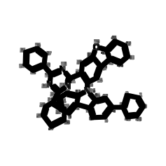 c1ccc(-c2ccc3c4ccccc4n(-c4cc5c(cc4-c4nc(-c6ccccc6)nc(-c6ccccc6)n4)oc4ccccc45)c3c2)cc1